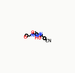 Cc1cc(-n2ncc(-c3ccc(C#N)cc3)c2O)ncc1C(=O)NCCC1CCCOC1